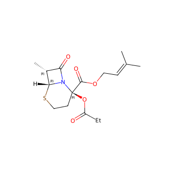 CCC(=O)O[C@@]1(C(=O)OCC=C(C)C)CCS[C@@H]2[C@H](C)C(=O)N21